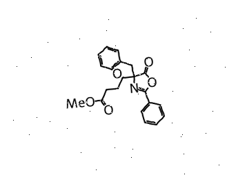 COC(=O)CCC(=O)C1(Cc2ccccc2)N=C(c2ccccc2)OC1=O